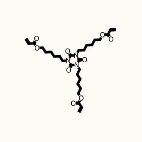 C=CC(=O)OCCCCCCn1c(=O)n(CCCCCCOC(=O)C=C)c(=O)n(CCCCCCOC(=O)C=C)c1=O